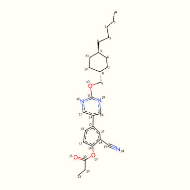 CCCCC[C@H]1CC[C@H](COc2ncc(-c3ccc(OC(=O)CC)c(C#N)c3)cn2)CC1